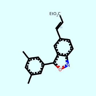 CCOC(=O)/C=C/c1ccc2noc(-c3cc(C)cc(C)c3)c2c1